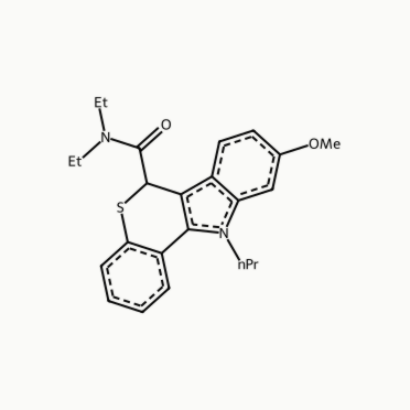 CCCn1c2c(c3ccc(OC)cc31)C(C(=O)N(CC)CC)Sc1ccccc1-2